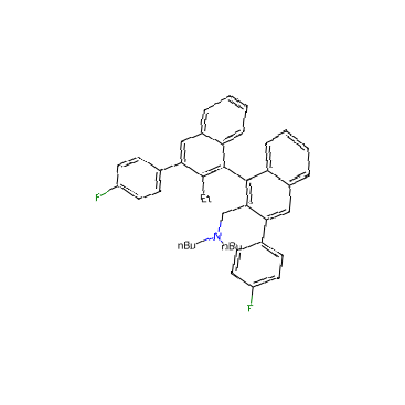 CCCCN(CCCC)Cc1c(-c2ccc(F)cc2)cc2ccccc2c1-c1c(CC)c(-c2ccc(F)cc2)cc2ccccc12